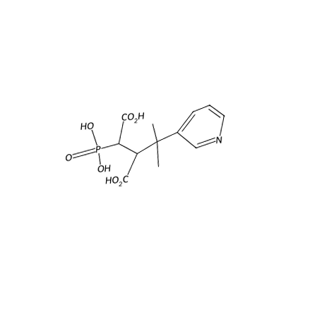 CC(C)(c1cccnc1)C(C(=O)O)C(C(=O)O)P(=O)(O)O